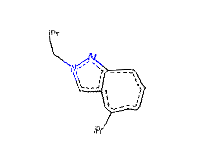 CC(C)Cn1cc2c(C(C)C)cccc2n1